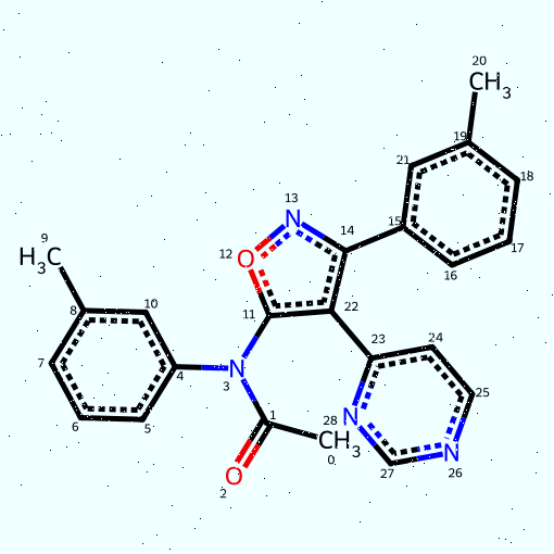 CC(=O)N(c1cccc(C)c1)c1onc(-c2cccc(C)c2)c1-c1ccncn1